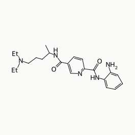 CCN(CC)CCCC(C)NC(=O)c1ccc(C(=O)Nc2ccccc2N)nc1